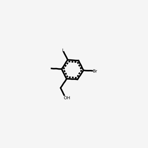 Cc1c(I)cc(Br)cc1CO